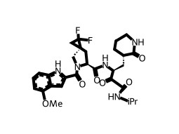 COc1cccc2[nH]c(C(=O)N3C[C@]4(C[C@H]3C(=O)N[C@@H](C[C@@H]3CCCNC3=O)C(=O)C(=O)NC(C)C)CC4(F)F)cc12